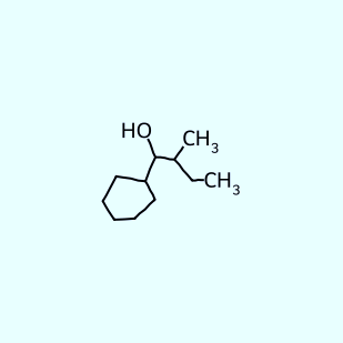 CCC(C)C(O)C1CCCCC1